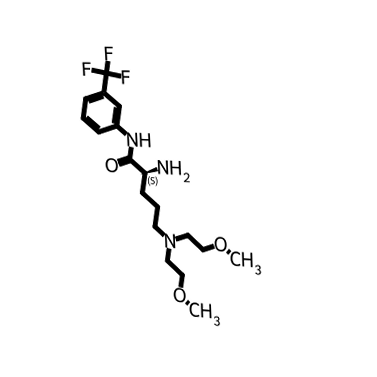 COCCN(CCC[C@H](N)C(=O)Nc1cccc(C(F)(F)F)c1)CCOC